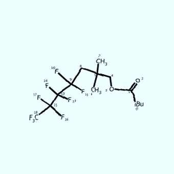 CCC(C)C(=O)OCC(C)(C)CC(F)(F)C(F)(F)C(F)(F)C(F)(F)F